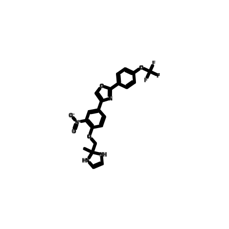 CC1(COc2ccc(-c3coc(-c4ccc(OC(F)(F)F)cc4)n3)cc2[N+](=O)[O-])NC=CN1